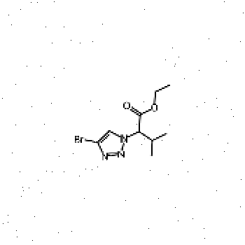 CCOC(=O)C(C(C)C)n1cc(Br)nn1